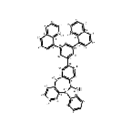 c1ccc2c(c1)NC1c3cnc(-c4cc(-c5cccc6cccnc56)cc(-c5cccc6cccnc56)c4)cc3Sc3ccncc3N21